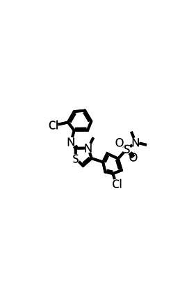 CN(C)S(=O)(=O)c1cc(Cl)cc(-c2cs/c(=N/c3ccccc3Cl)n2C)c1